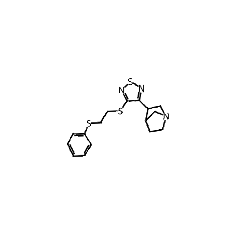 c1ccc(SCCSc2nsnc2C2CN3CCC2C3)cc1